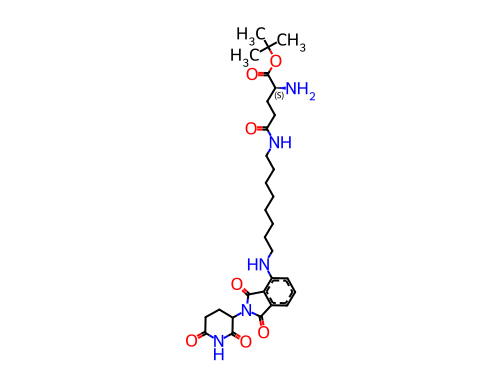 CC(C)(C)OC(=O)[C@@H](N)CCC(=O)NCCCCCCCCNc1cccc2c1C(=O)N(C1CCC(=O)NC1=O)C2=O